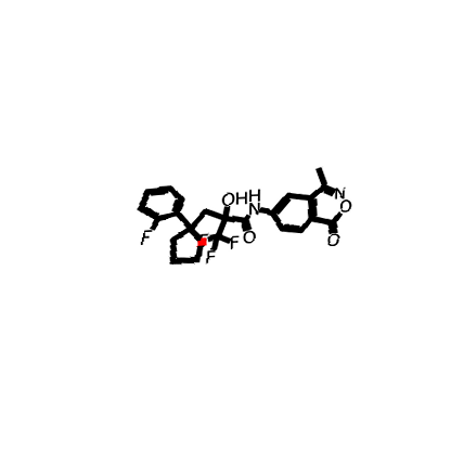 Cc1noc(=O)c2ccc(NC(=O)C(O)(CC3(c4ccccc4F)CCCC3)C(F)(F)F)cc12